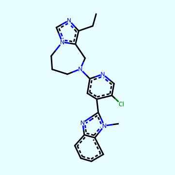 CCc1ncn2c1CN(c1cc(-c3nc4ccccc4n3C)c(Cl)cn1)CCC2